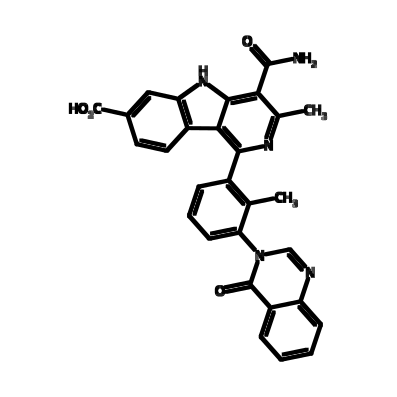 Cc1nc(-c2cccc(-n3cnc4ccccc4c3=O)c2C)c2c([nH]c3cc(C(=O)O)ccc32)c1C(N)=O